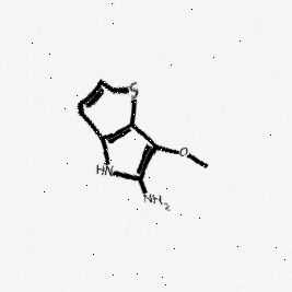 COc1c(N)[nH]c2ccsc12